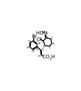 O/N=C1/CCCCC1Cl.O=C(O)/C=C/c1cccc(Br)c1